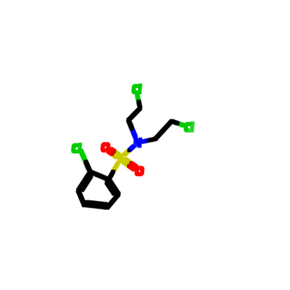 O=S(=O)(c1ccccc1Cl)N(CCCl)CCCl